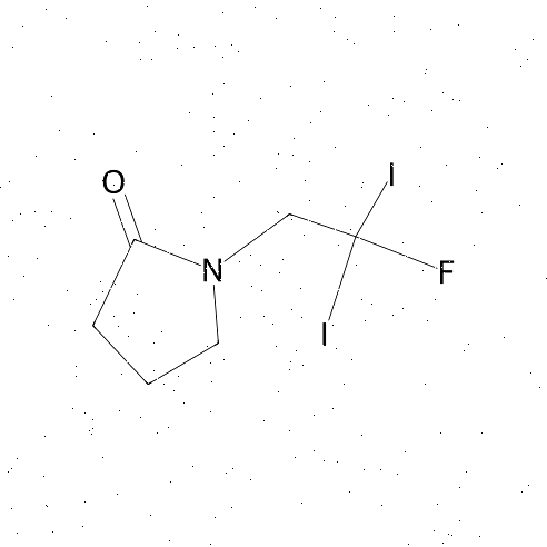 O=C1CCCN1CC(F)(I)I